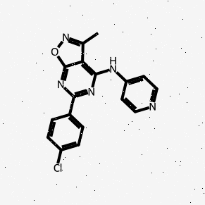 Cc1noc2nc(-c3ccc(Cl)cc3)nc(Nc3ccncc3)c12